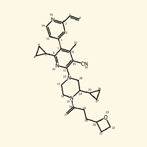 C=Cc1cc(-c2c(C3CC3)nc(N3CCN(C(=C)CCC4CCO4)C(C4CC4)C3)c(C#N)c2C)ccn1